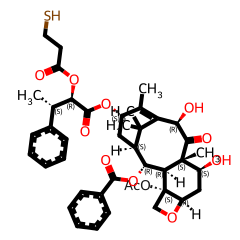 CC(=O)O[C@@]12CO[C@@H]1C[C@H](O)[C@@]1(C)C(=O)[C@H](O)C3=C(C)[C@@H](OC(=O)[C@H](OC(=O)CCS)[C@@H](C)c4ccccc4)C[C@H]([C@@H](OC(=O)c4ccccc4)[C@H]21)C3(C)C